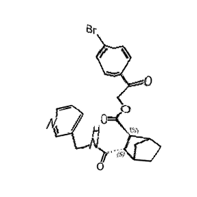 O=C(COC(=O)[C@H]1C2CCC(C2)[C@@H]1C(=O)NCc1cccnc1)c1ccc(Br)cc1